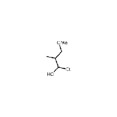 CCC(O)C(C)COC